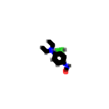 CCN(CC)c1ccc(N=O)cc1.Cl